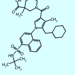 Cc1c(C(=O)N2CCCC(C)(C(=O)O)C2)cn(-c2ccc(S(=O)(=O)NC(C)(C)C)c3ccccc23)c1CC1CCCCC1